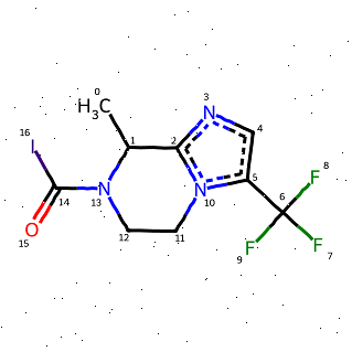 CC1c2ncc(C(F)(F)F)n2CCN1C(=O)I